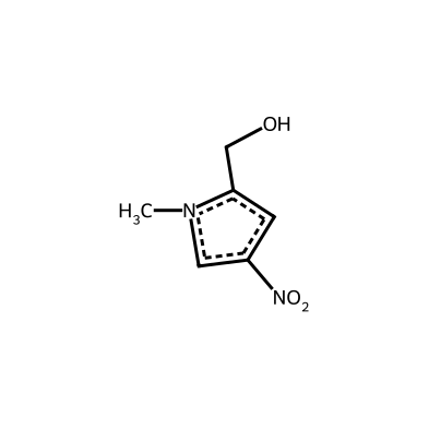 Cn1cc([N+](=O)[O-])cc1CO